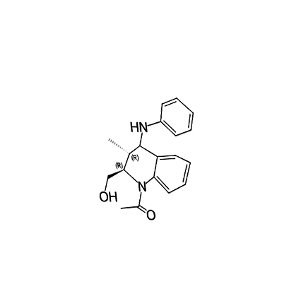 CC(=O)N1c2ccccc2C(Nc2ccccc2)[C@@H](C)[C@@H]1CO